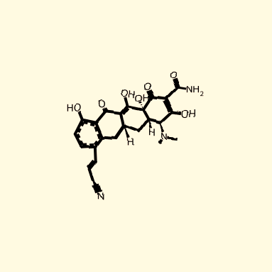 CN(C)[C@@H]1C(O)=C(C(N)=O)C(=O)[C@]2(O)C(O)=C3C(=O)c4c(O)ccc(/C=C/C#N)c4C[C@H]3C[C@@H]12